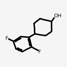 OC1CCC(c2cc(F)ccc2F)CC1